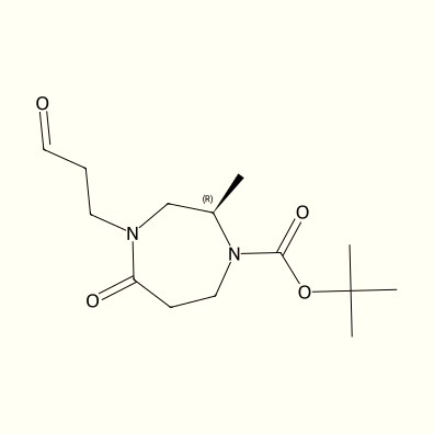 C[C@@H]1CN(CCC=O)C(=O)CCN1C(=O)OC(C)(C)C